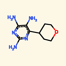 Nc1nc(N)c(N)c(C2CCOCC2)n1